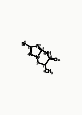 CC1Cn2nc(Br)nc2NC1=O